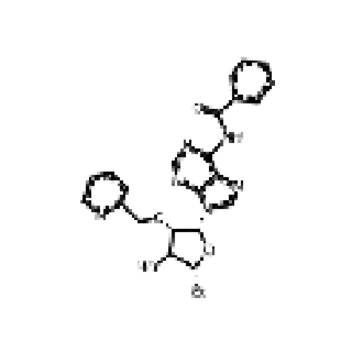 CC[C@H]1O[C@@H](n2cnc3c(NC(=O)c4ccccc4)ncnc32)[C@@H](OCc2ccccn2)C1O